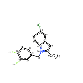 O=C(O)c1cc2cc(Cl)ccc2n1Cc1ccc(F)c(F)c1